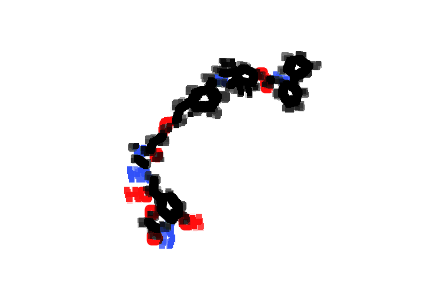 CN(CCNC[C@H](O)c1ccc(O)c2c1OCC(=O)N2)C(=O)CCOCCc1cccc(CN2C[C@H]3CC(OC(=O)Nc4ccccc4-c4ccccc4)C[C@H]3C2)c1